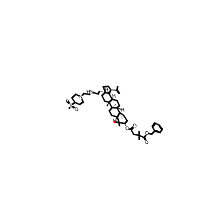 C=C(C)[C@@H]1CC[C@]2(CCNCCN3CCC(S(C)(=O)=O)CC3)CC[C@]3(C)[C@H](CC[C@@H]4[C@@]5(C)CC[C@H](OC(=O)CC(C)(C)C(=O)OCc6ccccc6)C(C)(C)[C@@H]5CC[C@]43C)[C@@H]12